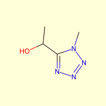 CC(O)c1nnnn1C